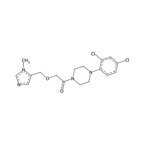 Cn1cncc1COCC(=O)N1CCN(c2ccc(Cl)cc2Cl)CC1